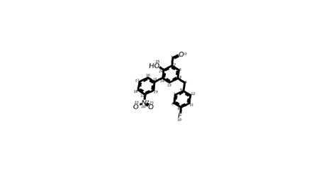 O=Cc1cc(Cc2ccc(F)cc2)cc(-c2cccc([N+](=O)[O-])c2)c1O